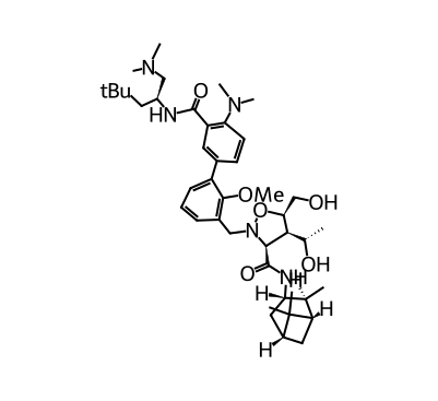 COc1c(CN2O[C@@H](CO)[C@@H]([C@H](C)O)[C@H]2C(=O)N[C@H]2C[C@H]3C[C@@H]([C@@H]2C)C3(C)C)cccc1-c1ccc(N(C)C)c(C(=O)N[C@H](CN(C)C)CC(C)(C)C)c1